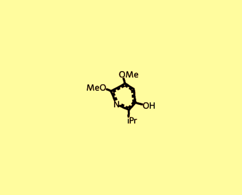 COc1cc(O)c(C(C)C)nc1OC